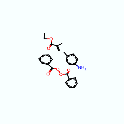 C=C(C)C(=O)OCC.Cc1ccc(N)cc1.O=C(OOC(=O)c1ccccc1)c1ccccc1